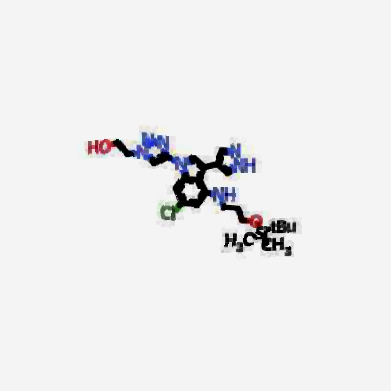 CC(C)(C)[Si](C)(C)OCCCNc1cc(Cl)cc2c1c(-c1cn[nH]c1)cn2-c1cn(CCO)nn1